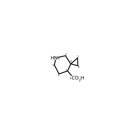 O=C(O)C1CCNCC12CC2